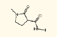 CN1CCC(C(=O)NI)C1=O